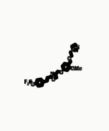 COc1cc(OCc2coc(/C=C/c3ccc(OC(F)(F)F)cc3)n2)ccc1COCCn1ccnn1